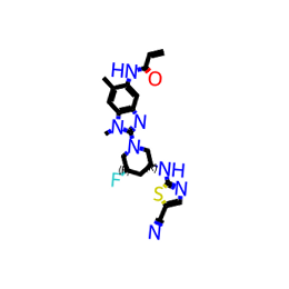 C=CC(=O)Nc1cc2nc(N3C[C@H](F)C[C@@H](Nc4ncc(C#N)s4)C3)n(C)c2cc1C